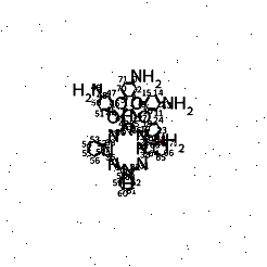 Nc1ccc(Oc2c(Oc3ccc(N)cc3)c(Oc3ccc(N)cc3)c3c4nc5nc(nc6[nH]c(nc7nc(nc([nH]4)c3c2Oc2ccc(N)cc2)-c2ccccc2-7)c2ccccc62)-c2ccccc2-5)cc1